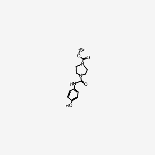 CC(C)(C)OC(=O)N1CCN(C(=O)Nc2ccc(O)cc2)CC1